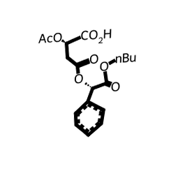 CCCCOC(=O)[C@@H](OC(=O)C[C@H](OC(C)=O)C(=O)O)c1ccccc1